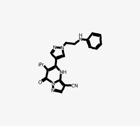 CC(C)c1c(-c2cnn(CCNc3ccccc3)c2)[nH]c2c(C#N)cnn2c1=O